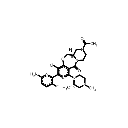 CC(=O)N1CCN2C(=O)c3c(N4CCN(C)C[C@@H]4C)nc(-c4nc(N)ccc4F)c(Cl)c3OC[C@H]2C1